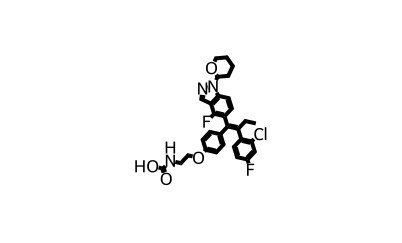 CC/C(=C(/c1ccc(OCCNC(=O)O)cc1)c1ccc2c(cnn2C2CCCCO2)c1F)c1ccc(F)cc1Cl